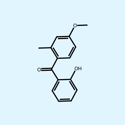 COc1ccc(C(=O)c2ccccc2O)c(C)c1